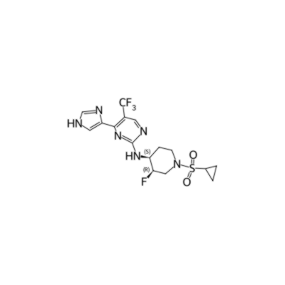 O=S(=O)(C1CC1)N1CC[C@H](Nc2ncc(C(F)(F)F)c(-c3c[nH]cn3)n2)[C@H](F)C1